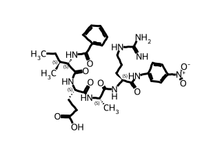 CC[C@H](C)[C@H](NC(=O)c1ccccc1)C(=O)N[C@@H](CCC(=O)O)C(=O)N[C@@H](C)C(=O)N[C@@H](CCCNC(=N)N)C(=O)Nc1ccc([N+](=O)[O-])cc1